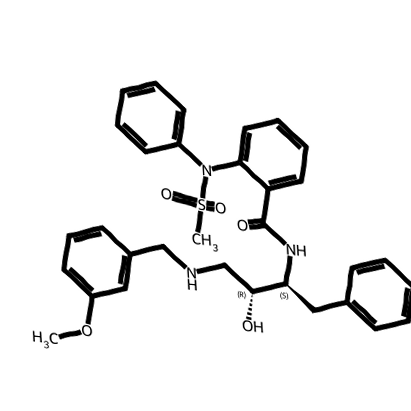 COc1cccc(CNC[C@@H](O)[C@H](Cc2ccccc2)NC(=O)c2ccccc2N(c2ccccc2)S(C)(=O)=O)c1